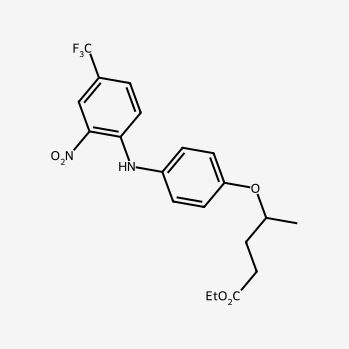 CCOC(=O)CCC(C)Oc1ccc(Nc2ccc(C(F)(F)F)cc2[N+](=O)[O-])cc1